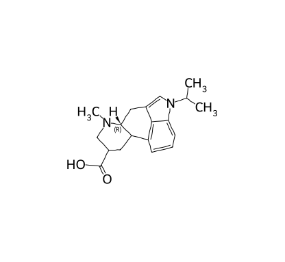 CC(C)n1cc2c3c(cccc31)C1CC(C(=O)O)CN(C)[C@@H]1C2